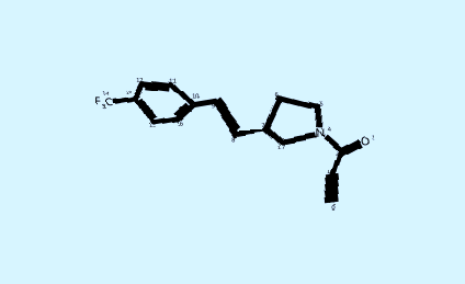 C#CC(=O)N1CC[C@H](/C=C/c2ccc(C(F)(F)F)cc2)C1